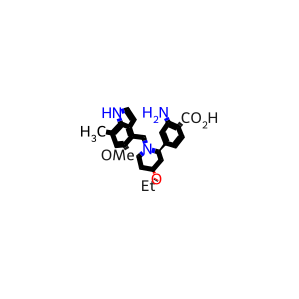 CCO[C@H]1CCN(Cc2c(OC)cc(C)c3[nH]ccc23)[C@@H](c2ccc(C(=O)O)c(N)c2)C1